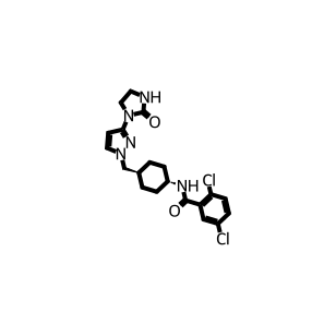 O=C(N[C@H]1CC[C@H](Cn2ccc(N3CCNC3=O)n2)CC1)c1cc(Cl)ccc1Cl